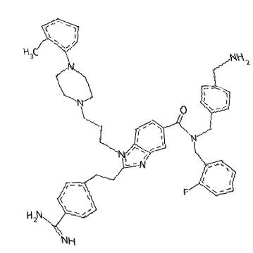 Cc1ccccc1N1CCN(CCCn2c(CCc3ccc(C(=N)N)cc3)nc3cc(C(=O)N(Cc4ccc(CN)cc4)Cc4ccccc4F)ccc32)CC1